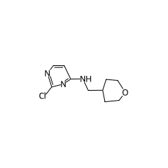 Clc1nccc(NCC2CCOCC2)n1